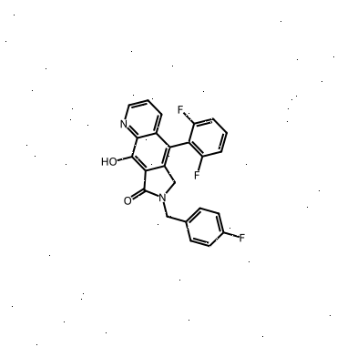 O=C1c2c(c(-c3c(F)cccc3F)c3cccnc3c2O)CN1Cc1ccc(F)cc1